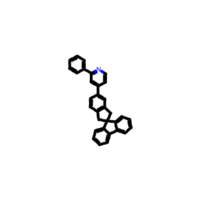 c1ccc(-c2cc(-c3ccc4c(c3)CC3(C4)c4ccccc4-c4ccccc43)ccn2)cc1